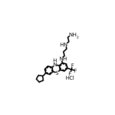 Cl.NCCNCCCNc1cc(C(F)(F)F)cc2c1Nc1ccc(C3CCCC3)cc1S2